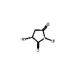 O=C1CC(O)C(=O)N1Cl